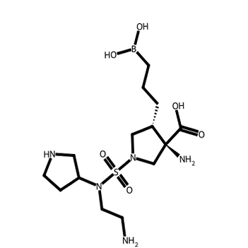 NCCN(C1CCNC1)S(=O)(=O)N1C[C@H](CCCB(O)O)[C@](N)(C(=O)O)C1